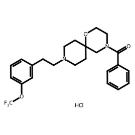 Cl.O=C(c1ccccc1)N1CCOC2(CCN(CCc3cccc(OC(F)(F)F)c3)CC2)C1